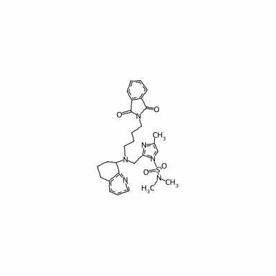 Cc1cn(S(=O)(=O)N(C)C)c(CN(CCCCN2C(=O)c3ccccc3C2=O)C2CCCc3cccnc32)n1